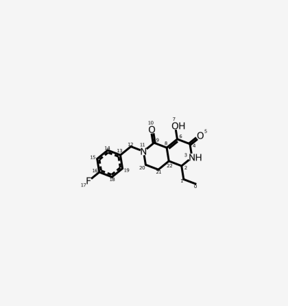 CCC1NC(=O)C(O)=C2C(=O)N(Cc3ccc(F)cc3)CCC21